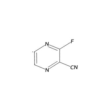 N#Cc1nc[c]nc1F